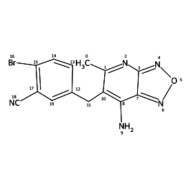 Cc1nc2nonc2c(N)c1Cc1ccc(Br)c(C#N)c1